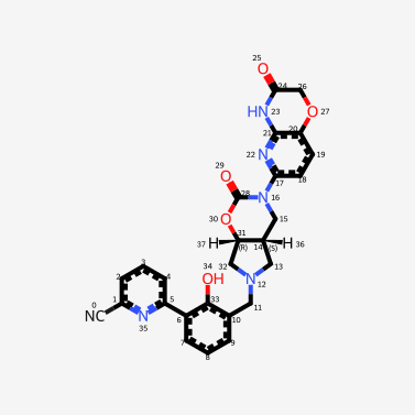 N#Cc1cccc(-c2cccc(CN3C[C@H]4CN(c5ccc6c(n5)NC(=O)CO6)C(=O)O[C@H]4C3)c2O)n1